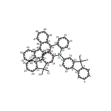 CC1(C)c2ccccc2-c2ccc(N(c3ccc4c(c3)C(C)(C)c3ccccc3-4)c3ccccc3-c3cc4oc5ccccc5c4c4ccccc34)cc21